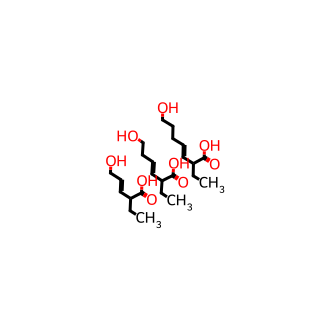 CCC(C=CCCCO)C(=O)O.CCC(C=CCCO)C(=O)O.CCC(C=CCO)C(=O)O